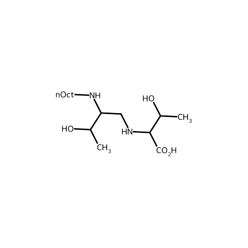 CCCCCCCCNC(CNC(C(=O)O)C(C)O)C(C)O